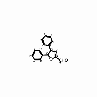 O=CC1=NC(c2ccccc2)C(c2ccccc2)O1